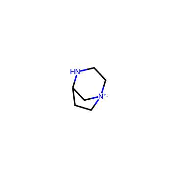 C1C[N+]2CCC(C2)N1